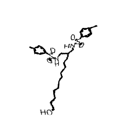 Cc1ccc(S(=O)(=O)NCC(CCCCCCCCCCCO)CNS(=O)(=O)c2ccc(C)cc2)cc1